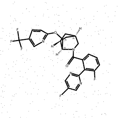 O=C(c1cccc(F)c1-c1ncc(F)cn1)N1C[C@@H]2CC[C@H]1[C@H](Oc1ccc(C(F)(F)F)cn1)C2